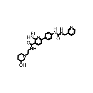 CCNc1nc(-c2ccc(NC(=O)NCc3cccnc3)cc2)ccc1C(=O)NCCN1CCCC(O)C1